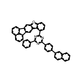 c1ccc(-c2nc(-c3ccc(-c4ccc5ccccc5c4)cc3)nc(-c3cccc4oc5cc6c(cc5c34)-c3cccc4cccc-6c34)n2)cc1